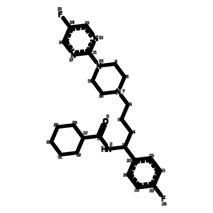 O=C(NC(CCCN1CCN(c2ncc(F)cn2)CC1)c1ccc(F)cc1)C1CCCCC1